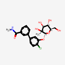 CNC(=O)c1cccc(-c2ccc(Cl)c(O[C@H]3O[C@H](CO)[C@@H](O)[C@H](O)[C@]3(C)O)c2)c1